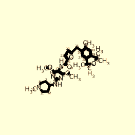 COc1nc(NC2CCN(C)CC2)nc(OC)c1NC(=O)c1ccc(Cc2cc3c(cc2C)C(C)(C)OC3(C)C)o1